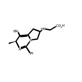 CC(C)C1=N[C@@H](C)C(C(C)(C)C)=C2CC(NCC(=O)O)CN12